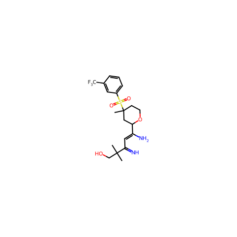 CC(C)(CO)C(=N)/C=C(\N)C1CC(C)(S(=O)(=O)c2cccc(C(F)(F)F)c2)CCO1